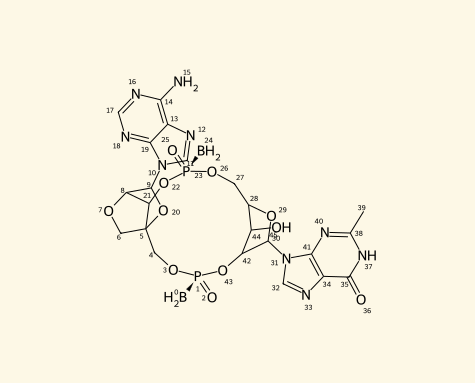 B[P@@]1(=O)OCC23COC(C(n4cnc5c(N)ncnc54)O2)C3O[P@](B)(=O)OCC2OC(n3cnc4c(=O)[nH]c(C)nc43)C(O1)C2O